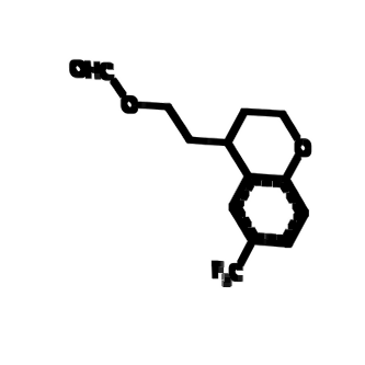 O=COCCC1CCOc2ccc(C(F)(F)F)cc21